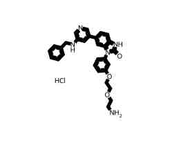 Cl.NCCOCCOc1cccc(-n2c(=O)[nH]c3ccc(-c4cncc(NCc5ccccc5)c4)cc32)c1